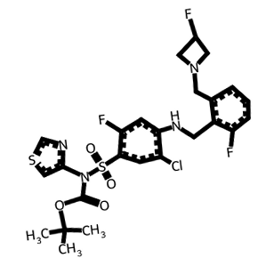 CC(C)(C)OC(=O)N(c1cscn1)S(=O)(=O)c1cc(Cl)c(NCc2c(F)cccc2CN2CC(F)C2)cc1F